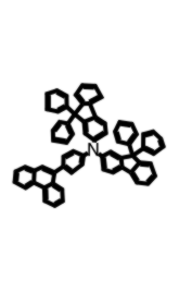 c1ccc(C2(c3ccccc3)c3ccccc3-c3ccc(N(c4ccc(-c5cc6ccccc6c6ccccc56)cc4)c4ccc5c(c4)C(c4ccccc4)(c4ccccc4)c4ccccc4-5)cc32)cc1